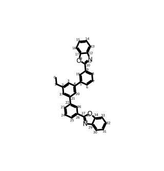 CCc1cc(-c2cccc(-c3nc4ccccc4o3)c2)cc(-c2cccc(-c3nc4ccccc4o3)c2)c1